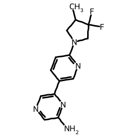 CC1CN(c2ccc(-c3cncc(N)n3)cn2)CC1(F)F